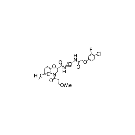 COCCC(=O)N1CC(C(=O)NC23CC(NC(=O)COc4ccc(Cl)c(F)c4)(C2)C3)Oc2ccc(C)cc21